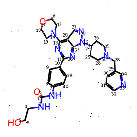 O=C(NCCO)Nc1ccc(-c2nc(N3CCOCC3)c3cnn(C4CCN(Cc5cccnc5)CC4)c3n2)cc1